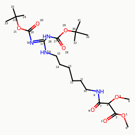 COC(=O)C(OC)C(=O)NCCCCCCN/C(=N/C(=O)OC(C)(C)C)NC(=O)OC(C)(C)C